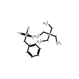 CC[N+](CC)(CC)CC.O=S(=O)([O-])Cc1ccccc1